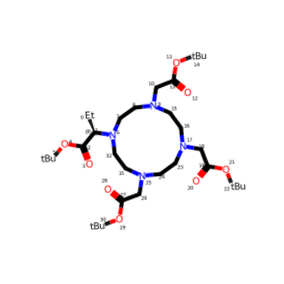 CC[C@H](C(=O)OC(C)(C)C)N1CCN(CC(=O)OC(C)(C)C)CCN(CC(=O)OC(C)(C)C)CCN(CC(=O)OC(C)(C)C)CC1